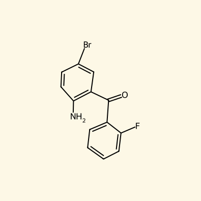 Nc1ccc(Br)cc1C(=O)c1ccccc1F